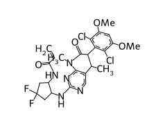 C=CC(=O)NC1CC(F)(F)CC1Nc1ncc2c(n1)N(C)C(=O)C(c1c(Cl)c(OC)cc(OC)c1Cl)C2C